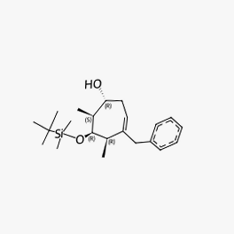 C[C@@H]1[C@H](O[Si](C)(C)C(C)(C)C)[C@H](C)C(Cc2ccccc2)=CC[C@H]1O